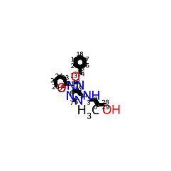 C/C(=C\CNc1ncnc2c1nc(OCc1ccccc1)n2C1CCCCO1)CO